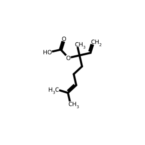 C=CC(C)(CCC=C(C)C)OC(=O)O